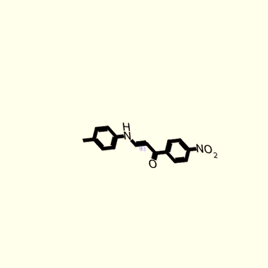 Cc1ccc(N/C=C/C(=O)c2ccc([N+](=O)[O-])cc2)cc1